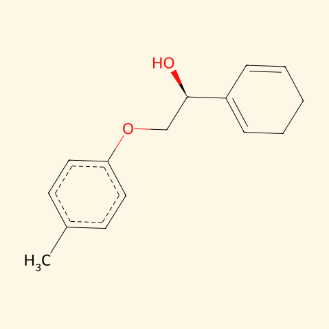 Cc1ccc(OC[C@@H](O)C2=CCCC=C2)cc1